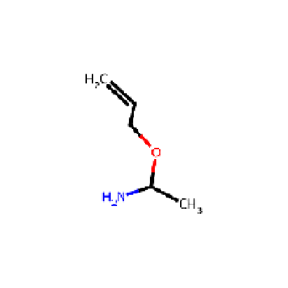 C=CCOC(C)N